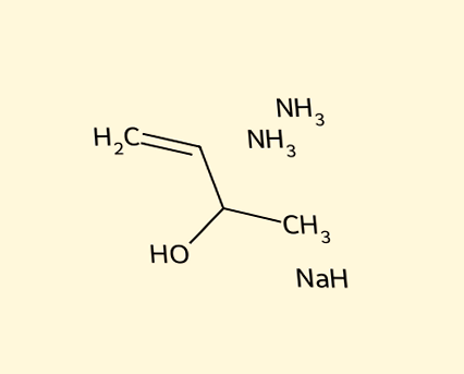 C=CC(C)O.N.N.[NaH]